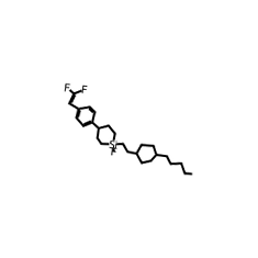 CCCCCC1CCC(CC[Si]2(F)CCC(c3ccc(C=C(F)F)cc3)CC2)CC1